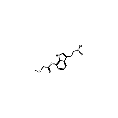 CCN(CC)CCc1c[nH]c2c(OC(=O)CC(=O)O)cccc12